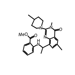 COC(=O)c1ccccc1NC(C)c1cc(C)cc2c(=O)n(C)c(N3CCC(C)CC3)nc12